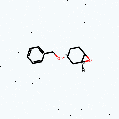 c1ccc(CO[C@@H]2CCC3O[C@@H]3C2)cc1